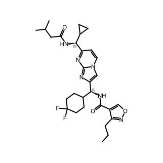 CCCc1nocc1C(=O)N[C@H](c1cn2ccc([C@@H](NC(=O)CC(C)C)C3CC3)nc2n1)C1CCC(F)(F)CC1